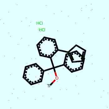 Cl.Cl.[Ti][O]C(c1ccccc1)(c1ccccc1)c1ccccc1C1=CC=CC1